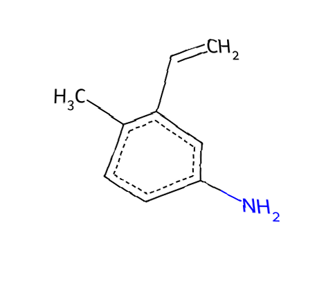 C=Cc1cc(N)ccc1C